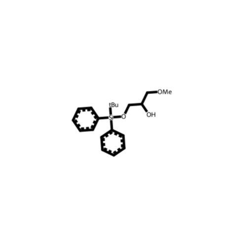 COCC(O)CO[Si](c1ccccc1)(c1ccccc1)C(C)(C)C